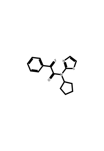 O=C(C(=S)c1ccccc1)N(c1nccs1)C1CCCC1